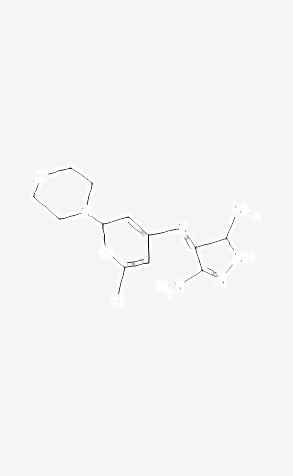 NC1=NNC(N)C1=NC1=CC(N2CCOCC2)OC(Cl)=C1